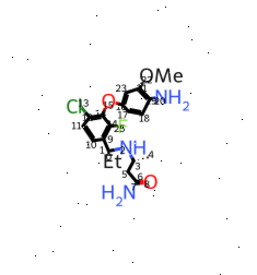 CC[C@@H](N[C@H](C)CC(N)=O)c1ccc(Cl)c(Oc2ccc(N)c(OC)c2)c1F